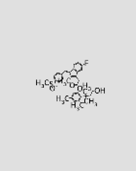 CC1=C(CC(=O)Oc2cc(C)cc(C)c2C(C)(C)CCO)c2cc(F)ccc2C1=Cc1ccc([S+](C)[O-])cc1